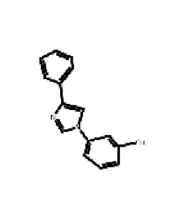 Cc1cccc(-n2cnc(-c3ccccc3)c2)c1